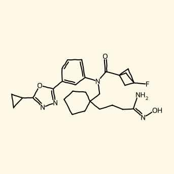 N/C(CCCC1(CN(C(=O)C23CC(F)(C2)C3)c2cccc(-c3nnc(C4CC4)o3)c2)CCCCC1)=N\O